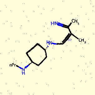 CCCN[C@H]1CC[C@H](N/C=C(/C)C(C)=N)CC1